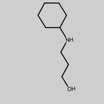 OCCCNC1CCCCC1